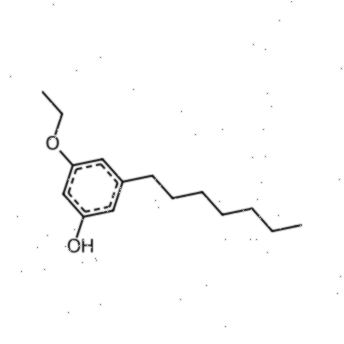 CCCCCCCc1cc(O)cc(OCC)c1